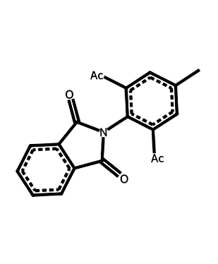 CC(=O)c1cc(C)cc(C(C)=O)c1N1C(=O)c2ccccc2C1=O